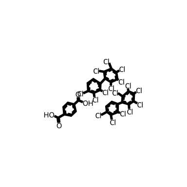 Clc1ccc(-c2c(Cl)c(Cl)c(Cl)c(Cl)c2Cl)c(Cl)c1Cl.Clc1ccc(-c2c(Cl)c(Cl)c(Cl)c(Cl)c2Cl)c(Cl)c1Cl.O=C(O)c1ccc(C(=O)O)cc1